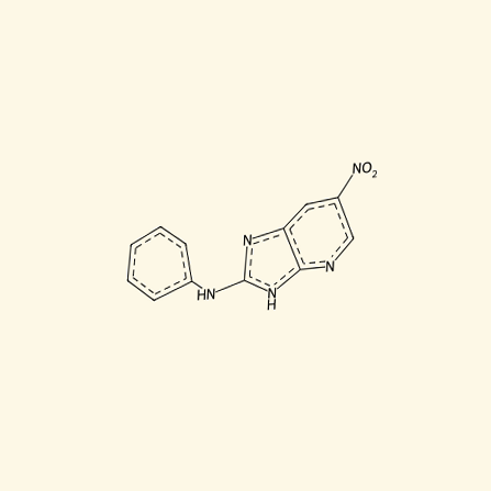 O=[N+]([O-])c1cnc2[nH]c(Nc3ccccc3)nc2c1